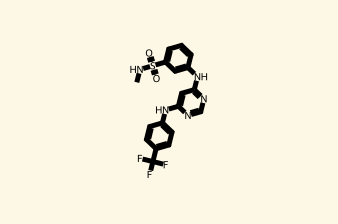 CNS(=O)(=O)c1cccc(Nc2cc(Nc3ccc(C(F)(F)F)cc3)ncn2)c1